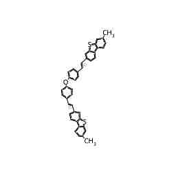 Cc1ccc2c(c1)sc1cc(/C=C/c3ccc(Oc4ccc(/C=C/c5ccc6c(c5)sc5cc(C)ccc56)cc4)cc3)ccc12